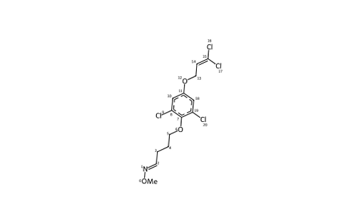 CO/N=C/CCCOc1c(Cl)cc(OCC=C(Cl)Cl)cc1Cl